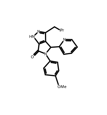 COc1ccc(N2C(=O)c3[nH]nc(CC(C)C)c3C2c2ccccn2)cc1